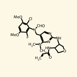 C=CC(=O)NC1COCC1Nc1ncc(CN(C=O)c2c(F)c(OC)cc(OC)c2Cl)c(N(C)C)n1